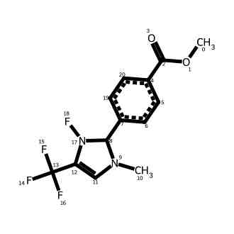 COC(=O)c1ccc(C2N(C)C=C(C(F)(F)F)N2F)cc1